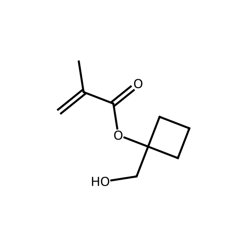 C=C(C)C(=O)OC1(CO)CCC1